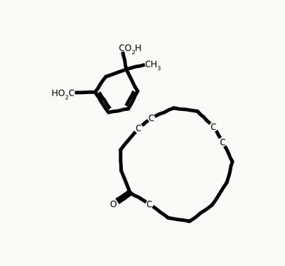 CC1(C(=O)O)C=CC=C(C(=O)O)C1.O=C1CCCCCCCCCCCCCC1